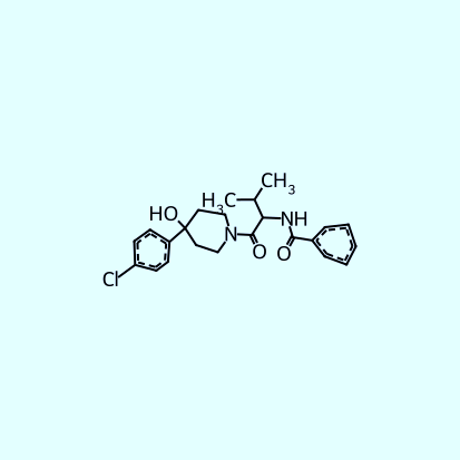 CC(C)C(NC(=O)c1ccccc1)C(=O)N1CCC(O)(c2ccc(Cl)cc2)CC1